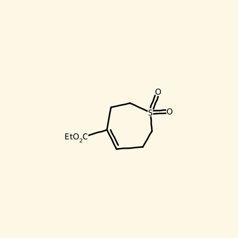 CCOC(=O)C1=CCCS(=O)(=O)CC1